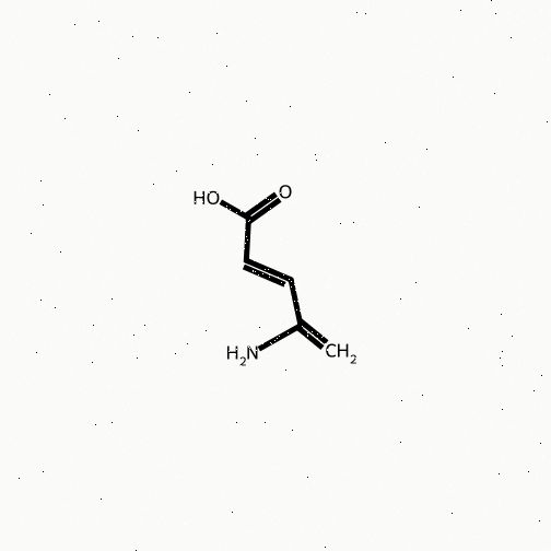 C=C(N)C=CC(=O)O